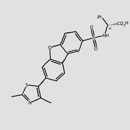 Cc1nc(C)c(-c2ccc3c(c2)oc2ccc(S(=O)(=O)N[C@@H](C(=O)O)C(C)C)cc23)s1